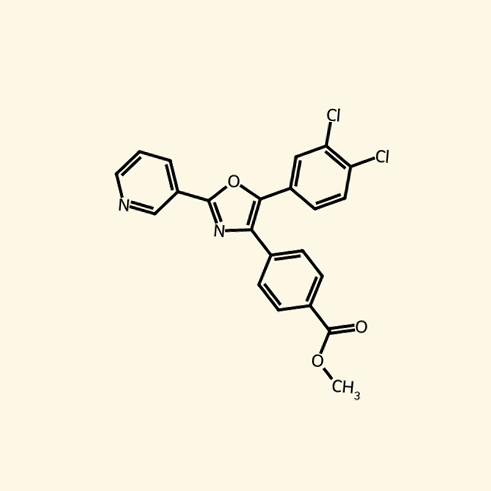 COC(=O)c1ccc(-c2nc(-c3cccnc3)oc2-c2ccc(Cl)c(Cl)c2)cc1